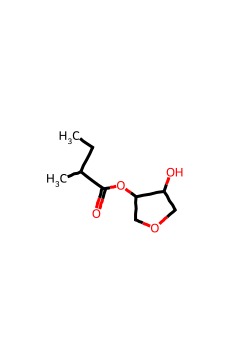 CCC(C)C(=O)OC1COCC1O